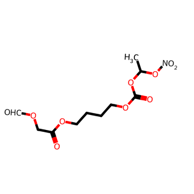 CC(OC(=O)OCCCCOC(=O)COC=O)O[N+](=O)[O-]